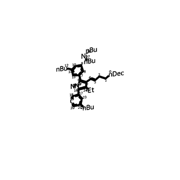 CCCCCCCCCCCCC=CC1=C(c2cccc(CCCC)c2)[N+](=[N-])C(c2cccc(CCCC)c2)=C1CC.CCC[CH2][Ni][CH2]CCC